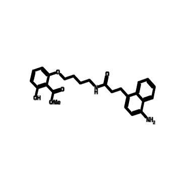 COC(=O)c1c(O)cccc1OCCCCNC(=O)CCc1ccc(N)c2ccccc12